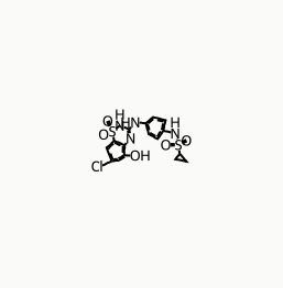 O=S1(=O)NC(Nc2ccc(NS(=O)(=O)C3CC3)cc2)=Nc2c(O)cc(Cl)cc21